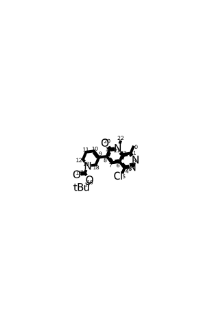 Cc1nnc(Cl)c2cc(C3=CCCN(C(=O)OC(C)(C)C)C3)c(=O)n(C)c12